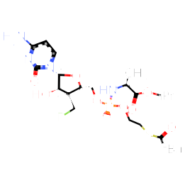 CC(C)OC(=O)[C@H](C)NP(=O)(OCCSC(=O)C(C)(C)C)OC[C@H]1O[C@@H](n2ccc(N)nc2=O)[C@H](O)[C@@H]1CF